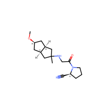 CO[C@@H]1C[C@@H]2CC(C)(NCC(=O)N3CCC[C@H]3C#N)C[C@@H]2C1